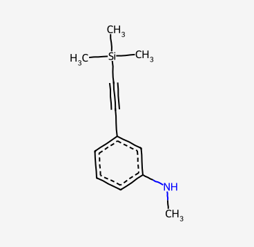 CNc1cccc(C#C[Si](C)(C)C)c1